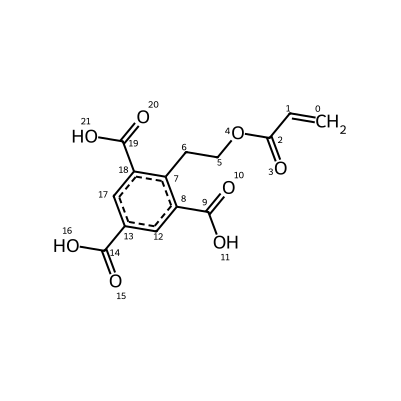 C=CC(=O)OCCc1c(C(=O)O)cc(C(=O)O)cc1C(=O)O